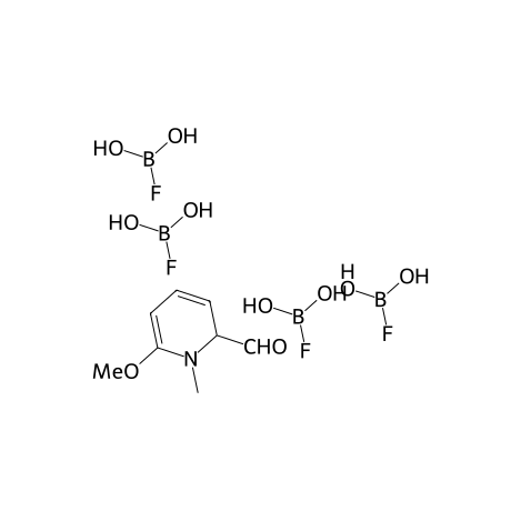 COC1=CC=CC(C=O)N1C.OB(O)F.OB(O)F.OB(O)F.OB(O)F